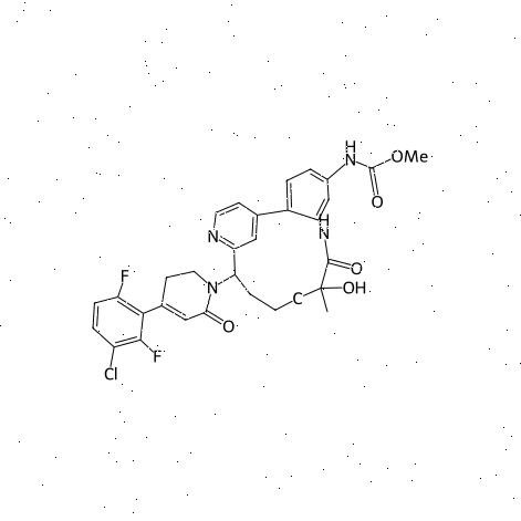 COC(=O)Nc1ccc2c(c1)NC(=O)C(C)(O)CCCC(N1CCC(c3c(F)ccc(Cl)c3F)=CC1=O)c1cc-2ccn1